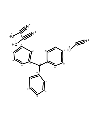 N#CO.N#CO.N#CO.c1ccc(C(c2ccccc2)c2ccccc2)cc1